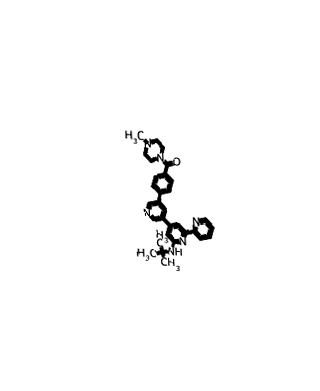 CN1CCN(C(=O)c2ccc(-c3cncc(-c4cc(NC(C)(C)C)nc(-c5ccccn5)c4)c3)cc2)CC1